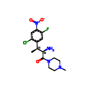 C[C@@H](c1cc(F)c([N+](=O)[O-])cc1Cl)[C@@H](N)C(=O)N1CCN(C)CC1